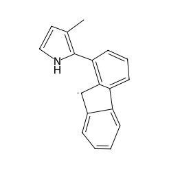 Cc1cc[nH]c1-c1cccc2c1[CH]c1ccccc1-2